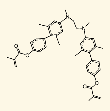 C=C(C)C(=O)Oc1ccc(-c2c(C)cc(N(C)CCN(C)c3cc(C)c(-c4ccc(OC(=O)C(=C)C)cc4)c(C)c3)cc2C)cc1